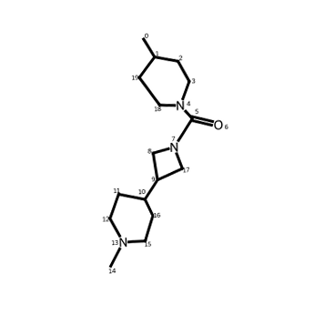 CC1CCN(C(=O)N2CC(C3CCN(C)CC3)C2)CC1